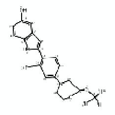 [3H]C([3H])([3H])O[C@H]1CCCN(c2ccc(-c3cc4cc(O)ccc4[nH]3)c(F)c2)C1